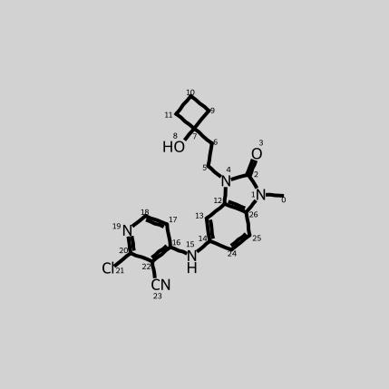 Cn1c(=O)n(CCC2(O)CCC2)c2cc(Nc3ccnc(Cl)c3C#N)ccc21